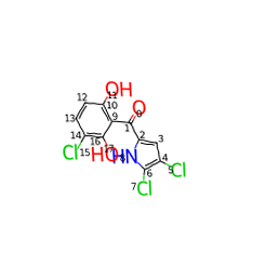 O=C(c1cc(Cl)c(Cl)[nH]1)c1c(O)ccc(Cl)c1O